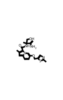 C=C(N)C(C)(CO)NC(=O)c1c(C)cc2ccc(OCc3cnc(C)s3)cn12